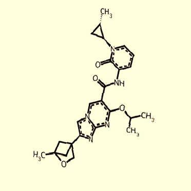 CC(C)Oc1nc2nc(C34COC(C)(C3)C4)cn2cc1C(=O)Nc1cccn([C@H]2C[C@@H]2C)c1=O